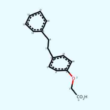 O=C(O)COc1ccc(CCc2ccccc2)cc1